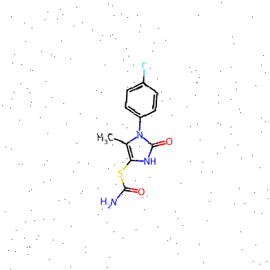 Cc1c(SC(N)=O)[nH]c(=O)n1-c1ccc(F)cc1